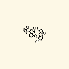 Cc1cc(-c2ncsc2Cl)c2cccc(OCc3c(Cl)ccnc3CC3CCCS3(=O)=O)c2n1